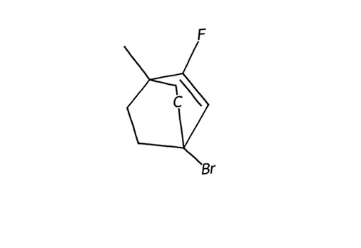 CC12CCC(Br)(C=C1F)CC2